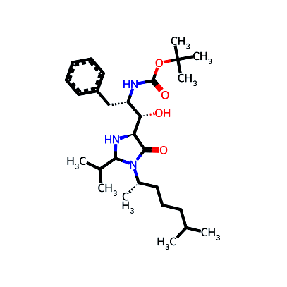 CC(C)CCC[C@H](C)N1C(=O)[C@H]([C@@H](O)[C@H](Cc2ccccc2)NC(=O)OC(C)(C)C)NC1C(C)C